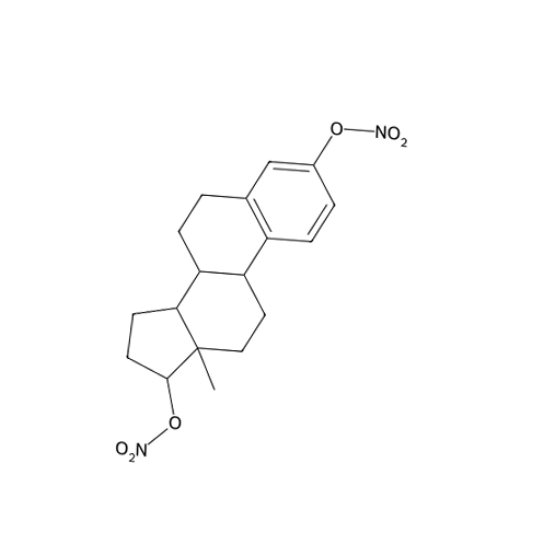 CC12CCC3c4ccc(O[N+](=O)[O-])cc4CCC3C1CCC2O[N+](=O)[O-]